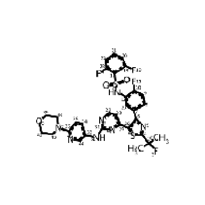 CC(C)(F)c1nc(-c2ccc(F)c(NS(=O)(=O)c3c(F)cccc3F)c2)c(-c2ccnc(Nc3ccc(N4CCOCC4)nc3)n2)s1